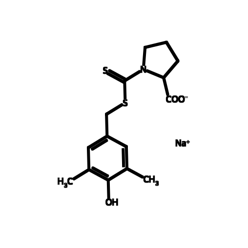 Cc1cc(CSC(=S)N2CCCC2C(=O)[O-])cc(C)c1O.[Na+]